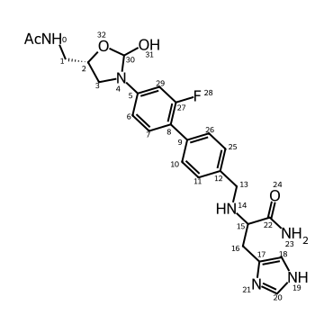 CC(=O)NC[C@H]1CN(c2ccc(-c3ccc(CNC(Cc4c[nH]cn4)C(N)=O)cc3)c(F)c2)C(O)O1